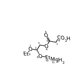 CCOC(COC(=O)CC(=O)O)OCC.[MgH2]